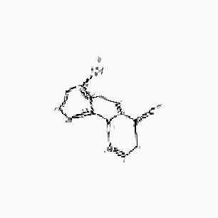 O=C1CC=Nn2c1cc1c(O)cccc12